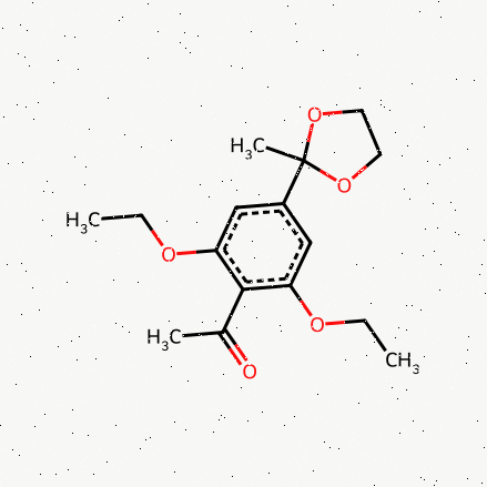 CCOc1cc(C2(C)OCCO2)cc(OCC)c1C(C)=O